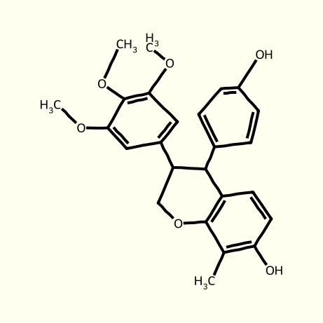 COc1cc(C2COc3c(ccc(O)c3C)C2c2ccc(O)cc2)cc(OC)c1OC